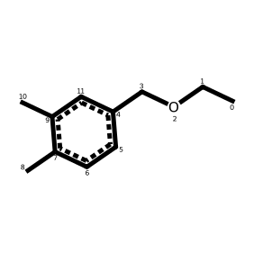 CCOCc1ccc(C)c(C)c1